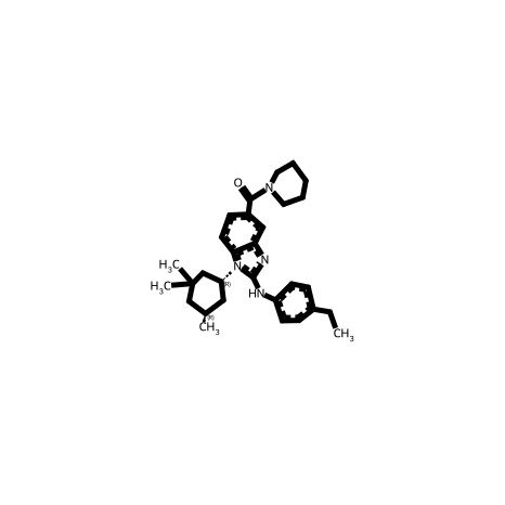 CCc1ccc(Nc2nc3cc(C(=O)N4CCCCC4)ccc3n2[C@@H]2C[C@H](C)CC(C)(C)C2)cc1